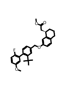 COC(=O)C[C@H]1CCCc2ccc(OCc3ccc(-c4cc(OC)ccc4F)c(C(C)(C)C)c3)cc21